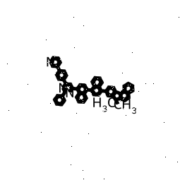 CC1(C)c2cc(-c3ccc(-c4ccc(-c5cc(-c6ccc(-c7cccnc7)cc6)nc(-c6ccccc6)n5)c5ccccc45)c4ccccc34)ccc2-c2c1ccc1ccccc21